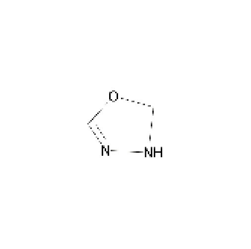 C1=NNCO1